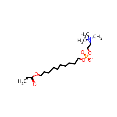 C=CC(=O)OCCCCCCCCCCOP(=O)([O-])OCC[N+](C)(C)C